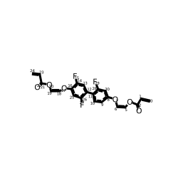 C=CC(=O)O/C=C\Oc1ccc(-c2cc(F)c(O/C=C\OC(=O)C=C)cc2F)c(F)c1